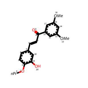 CCCOc1ccc(C=CC(=O)c2cc(OC)cc(OC)c2)cc1O